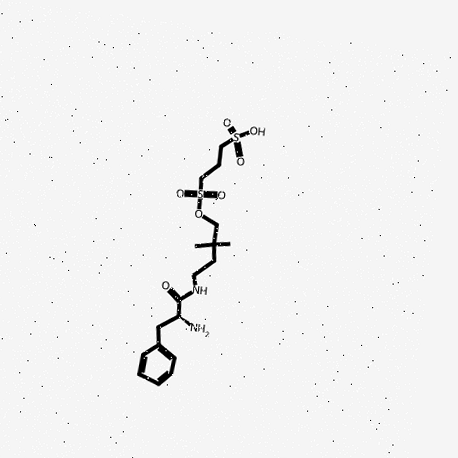 CC(C)(CCNC(=O)[C@@H](N)Cc1ccccc1)COS(=O)(=O)CCCS(=O)(=O)O